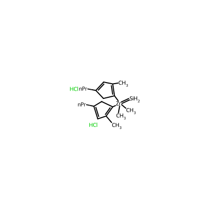 CCCC1=CC(C)=[C]([Zr]([CH3])([CH3])(=[SiH2])[C]2=C(C)C=C(CCC)C2)C1.Cl.Cl